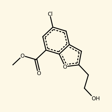 COC(=O)c1cc(Cl)cc2cc(CCO)oc12